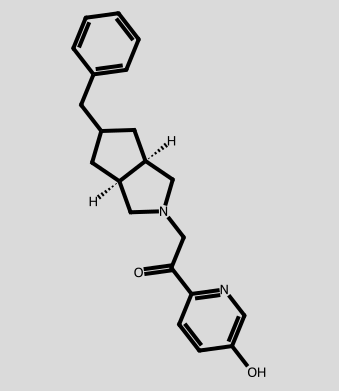 O=C(CN1C[C@H]2CC(Cc3ccccc3)C[C@H]2C1)c1ccc(O)cn1